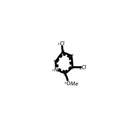 COc1ncc(Cl)[c]c1Cl